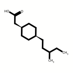 CCC(C)CC[C@H]1CC[C@@H](CC(=O)O)CC1